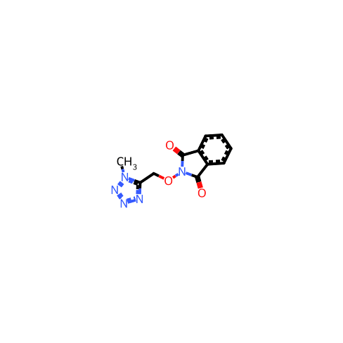 Cn1nnnc1CON1C(=O)c2ccccc2C1=O